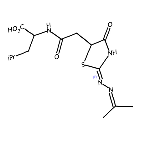 CC(C)=N/N=C1\NC(=O)C(CC(=O)NC(CC(C)C)C(=O)O)S1